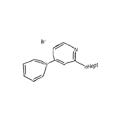 CCCCCCCc1cc(-[n+]2ccccc2)ccn1.[Br-]